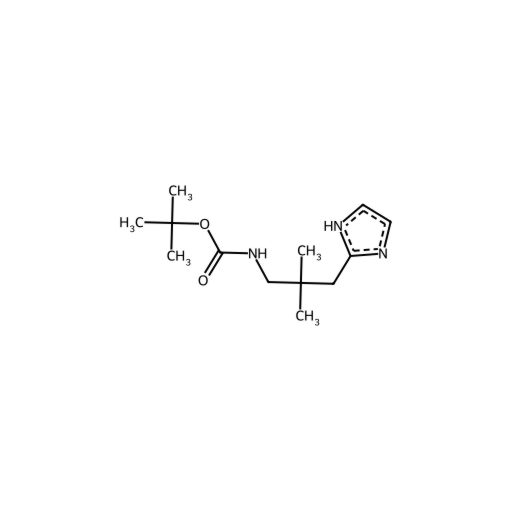 CC(C)(CNC(=O)OC(C)(C)C)Cc1ncc[nH]1